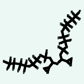 FC(F)(CC(OC(CC(F)(F)OC(F)(F)C(F)(F)OC(F)(F)C(F)(F)C(F)(F)C(F)(F)F)C1CO1)C1CO1)OC(F)(F)C(F)(F)OC(F)(F)C(F)(F)C(F)(F)C(F)(F)F